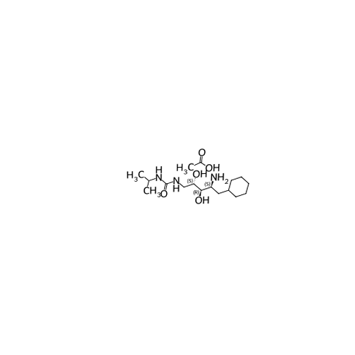 CC(=O)O.CC(C)NC(=O)NC[C@H](O)[C@H](O)[C@@H](N)CC1CCCCC1